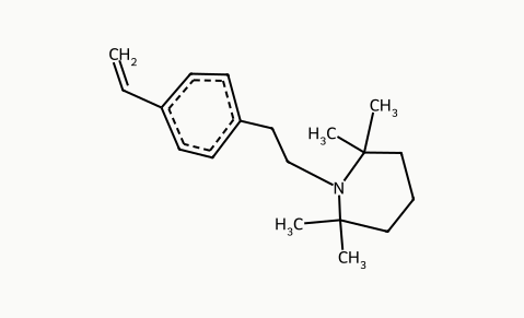 C=Cc1ccc(CCN2C(C)(C)CCCC2(C)C)cc1